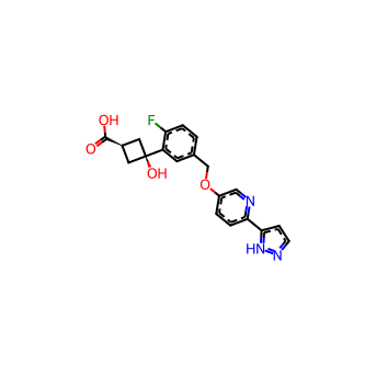 O=C(O)[C@H]1C[C@](O)(c2cc(COc3ccc(-c4ccn[nH]4)nc3)ccc2F)C1